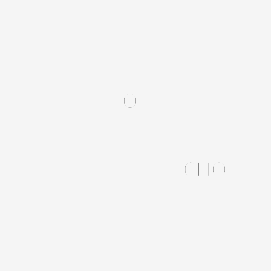 O=[C][C@@H]1CCCCO1